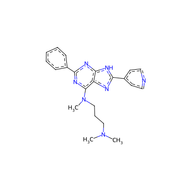 CN(C)CCCN(C)c1nc(-c2ccccc2)nc2[nH]c(-c3ccncc3)nc12